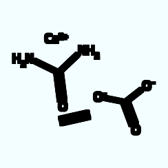 C=C.NC(N)=O.O=C([O-])[O-].[Ca+2]